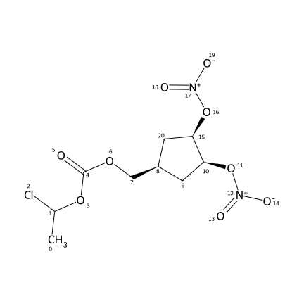 CC(Cl)OC(=O)OC[C@@H]1C[C@H](O[N+](=O)[O-])[C@H](O[N+](=O)[O-])C1